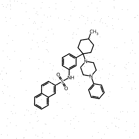 CC1CCC(c2cccc(NS(=O)(=O)c3ccc4ccccc4c3)c2)(N2CCN(c3ccccc3)CC2)CC1